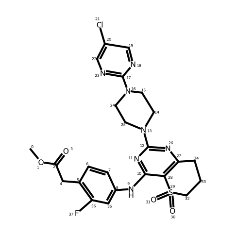 COC(=O)Cc1ccc(Nc2nc(N3CCN(c4ncc(Cl)cn4)CC3)nc3c2S(=O)(=O)CCC3)cc1F